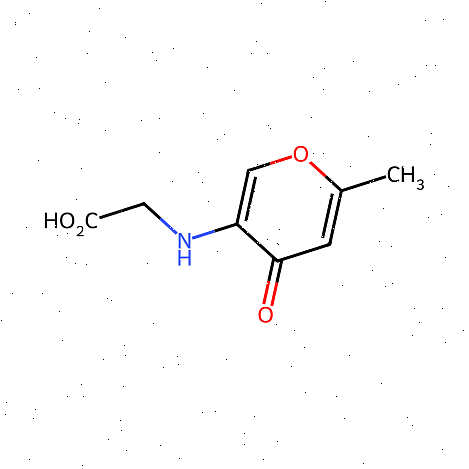 Cc1cc(=O)c(NCC(=O)O)co1